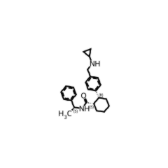 C[C@H](NC(=O)[C@H]1CCCC[C@H]1c1ccc(CNC2CC2)cc1)c1ccccc1